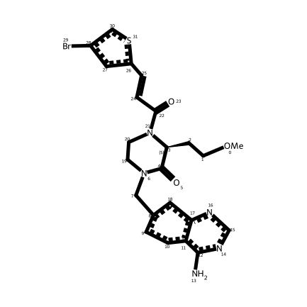 COCC[C@H]1C(=O)N(Cc2ccc3c(N)ncnc3c2)CCN1C(=O)C=Cc1cc(Br)cs1